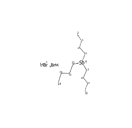 Br.Br.CCC[CH2][Sb]([CH2]CCC)[CH2]CCC